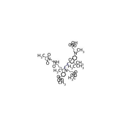 CCN(CCCS(=O)(=O)O)c1ccc2c(C(C)(C)C)cc(/C=C/C=C3\N(CCCS(=O)(=O)OC)c4ccc(S(=O)(=O)OC)cc4C3(C)CCCC(=O)NCCN3C(=O)CC(C)C3=O)[o+]c2c1